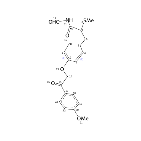 C/C=C(\C=C/CCC(SC)C(=O)NC=O)OCC(=O)c1ccc(OC)cc1